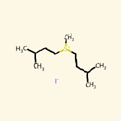 CC(C)CC[S+](C)CCC(C)C.[I-]